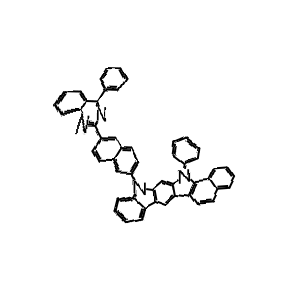 c1ccc(-c2nc(-c3ccc4cc(-n5c6ccccc6c6cc7c8ccc9ccccc9c8n(-c8ccccc8)c7cc65)ccc4c3)nc3ccccc23)cc1